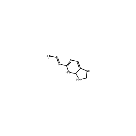 NN=NC1=NC=C2NCNC2N1